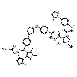 COC(=O)C[C@@H]1N=C(c2ccc(N3CC[C@@H](Oc4ccc(C(=O)N[C@H](C(=O)N5C[C@H](O)C[C@H]5C(=O)N[C@@H](C)c5ccc(-c6scnc6C)cc5)C(C)(C)C)cc4)C3)cc2)c2c(sc(C)c2C)-n2c(C)nnc21